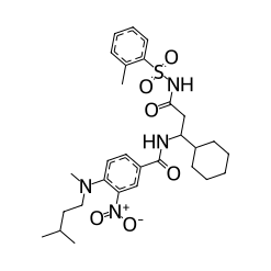 Cc1ccccc1S(=O)(=O)NC(=O)CC(NC(=O)c1ccc(N(C)CCC(C)C)c([N+](=O)[O-])c1)C1CCCCC1